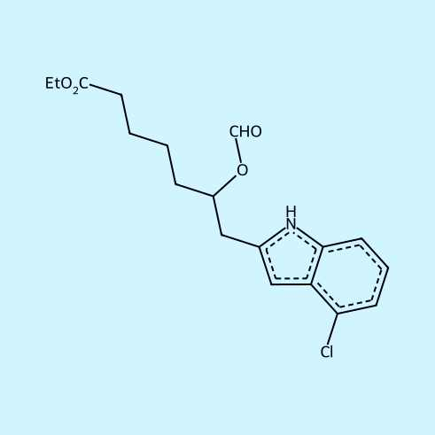 CCOC(=O)CCCCC(Cc1cc2c(Cl)cccc2[nH]1)OC=O